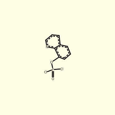 O=P(Cl)(Cl)Oc1cccc2cccnc12